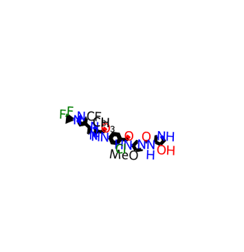 COC1CN(C(=O)NC2CNCC2O)CC1NC(=O)c1ccc(NC(=O)c2ncc(-c3cn(C4CC4(F)F)nc3C(F)(F)F)n2C)cc1Cl